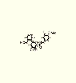 COc1ccc(CNC(=O)c2cc(-c3cnccc3CO)ccc2OCC(C)C)cc1F